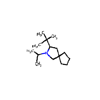 CC(C)N1CC2(CCCC2)CC1C(C)(C)C